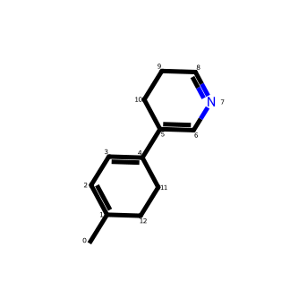 CC1=CC=C(C2=CN=CCC2)CC1